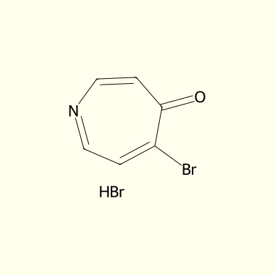 Br.O=c1ccnccc1Br